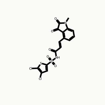 CN1C(=O)C(=O)c2c(/C=C/C(=O)NS(=O)(=O)c3cc(Cl)c(Cl)s3)cccc21